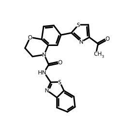 CC(=O)c1csc(-c2ccc3c(c2)N(C(=O)Nc2nc4ccccc4s2)CCO3)n1